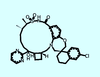 C[C@@H]1[C@@H](C)CCC[C@](O)(c2ncccn2)[C@@H]2CC[C@H]2CN2C[C@@]3(CCCc4cc(Cl)ccc43)COc3ccc(cc32)C(=O)NS1(=O)=O